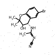 C/C(=N\C#N)N[C@H]1c2cc(Br)ccc2OC(C)(C)[C@@H]1O